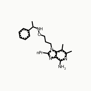 CCCc1nc2c(N)nc(C)c(C)c2n1CCCONC(C)c1ccccc1